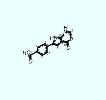 O=C(O)c1ccc(-c2cc3c(=O)nc[nH]c3[nH]2)cc1